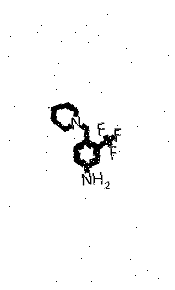 Nc1ccc(CN2CC[CH]CC2)c(C(F)(F)F)c1